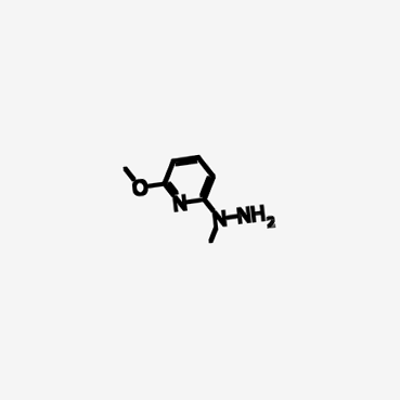 COc1cccc(N(C)N)n1